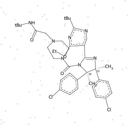 CCOc1nc(C(C)(C)C)ncc1C1=N[C@@](C)(c2ccc(Cl)cc2)[C@@](C)(c2ccc(Cl)cc2)N1C(=O)N1CCN(CC(=O)NC(C)(C)C)CC1